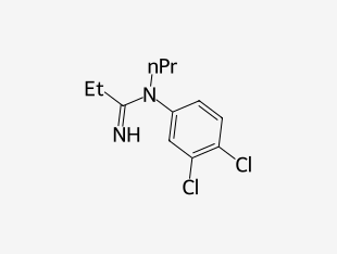 CCCN(C(=N)CC)c1ccc(Cl)c(Cl)c1